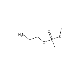 CSP(C)(=O)OCCN